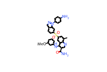 COc1cccc(Nc2c(C(N)=O)cnc3c(C)cc(S(=O)(=O)c4ccc5cnn(-c6ccc(N)cc6)c5c4)cc23)c1